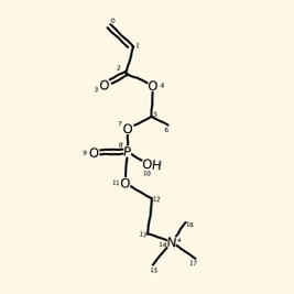 C=CC(=O)OC(C)OP(=O)(O)OCC[N+](C)(C)C